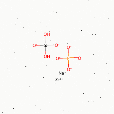 O=P([O-])([O-])[O-].[Na+].[O-][Si]([O-])(O)O.[Zr+4]